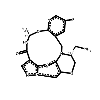 C[C@H]1NC(=O)c2cnn3cc4c(nc23)N(Cc2cc(F)cnc2O1)[C@H](CN)CO4